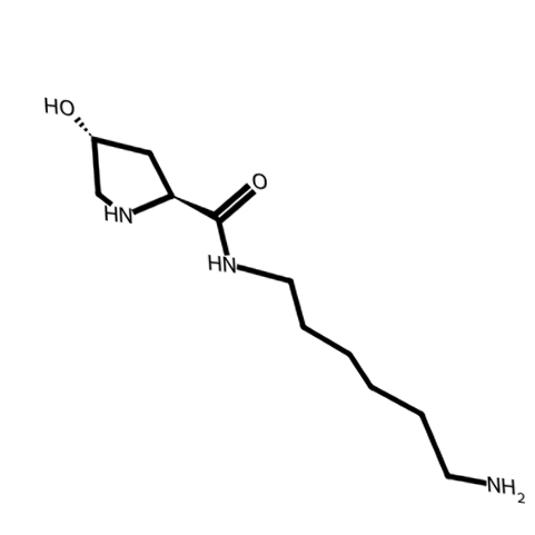 NCCCCCCNC(=O)[C@@H]1C[C@@H](O)CN1